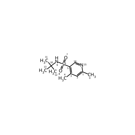 Cc1cc(C)c(S(=O)(=O)NC(C)(C)C)cn1